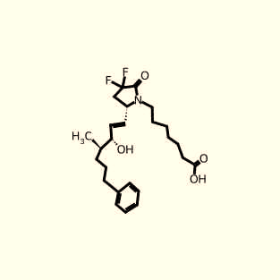 C[C@H](CCCc1ccccc1)[C@@H](O)C=C[C@@H]1CC(F)(F)C(=O)N1CCCCCCC(=O)O